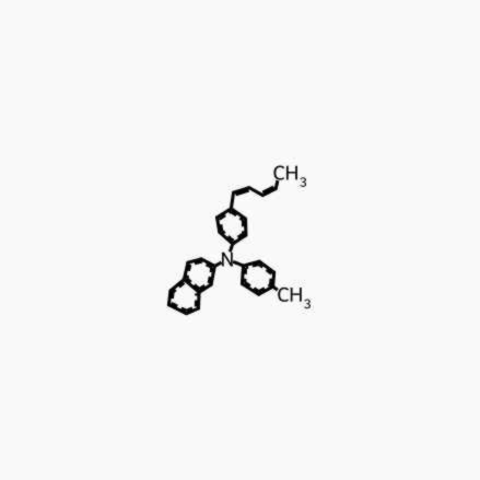 C/C=C\C=C/c1ccc(N(c2ccc(C)cc2)c2ccc3ccccc3c2)cc1